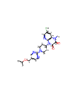 CC(C)OCc1cnc(N2CCC(n3c(=O)c(=O)n(C)c4cc(F)cnc43)CC2)nc1